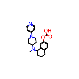 CN(C1CCN(c2ccncc2)CC1)C1CCCc2ccc(OC(=O)O)cc21